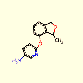 CC1OCc2cccc(Oc3ccc(N)cn3)c21